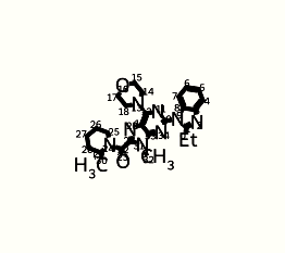 CCc1nc2ccccc2n1-c1nc(N2CCOCC2)c2nc(C(=O)N3CCCC[C@@H]3C)n(C)c2n1